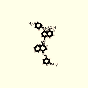 Cc1ccc(Nc2ccc(N=Nc3ccc(N=Nc4cccc(S(=O)(=O)O)c4)c4ccccc34)c3cccc(S(=O)(=O)O)c23)cc1